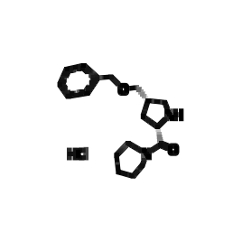 Cl.O=C([C@@H]1C[C@H](COCc2ccccc2)CN1)N1CCCCC1